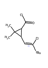 CC(C)(C)/C(Cl)=C/C1C(C(=O)Cl)C1(C)C